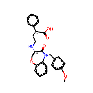 COc1ccc(CN2C(=O)[C@@H](NCC[C@H](C(=O)O)c3ccccc3)COc3ccccc32)cc1